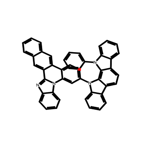 c1ccc(-n2c3ccccc3c3ccc4c5ccccc5n(-c5ccc6c7cc8ccccc8cc7c7nc8ccccc8n7c6c5)c4c32)cc1